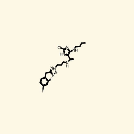 C=C(NCCCn1nnc(Cc2ccc(F)cc2F)n1)c1[nH]c(Cl)nc1NCCCC